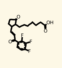 O=C(O)CCCCCCC1C(=O)CCC1C=CC(=O)c1ccc(F)c(F)c1F